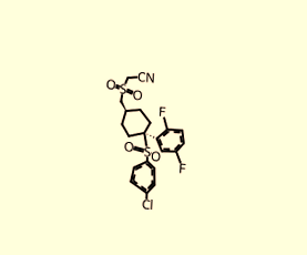 N#CCS(=O)(=O)C[C@H]1CC[C@@](c2cc(F)ccc2F)(S(=O)(=O)c2ccc(Cl)cc2)CC1